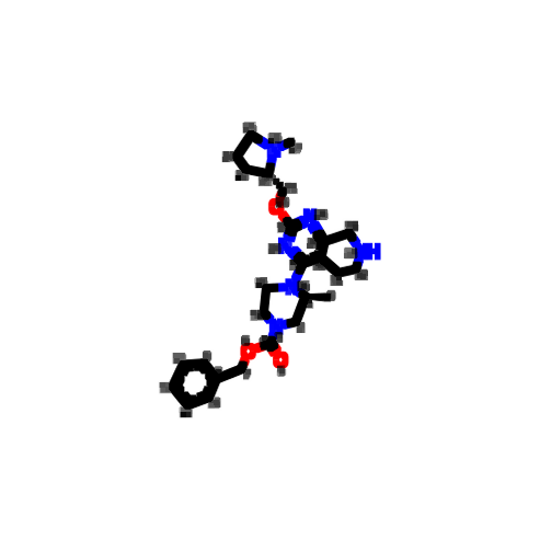 C[C@H]1CN(C(=O)OCc2ccccc2)CCN1c1nc(OC[C@@H]2CCCN2C)nc2c1CCNC2